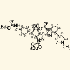 CN1CCN(c2cccc3c2nc(-c2nn(C(=O)OC(C)(C)C)c4cc(-c5ccc(CNC(=O)OC(C)(C)C)cc5)ccc24)n3C(=O)OC(C)(C)C)CC1